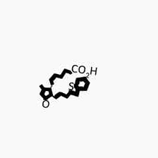 CC1=CC(=O)[C@H](/C=C/Cc2cc3ccccc3s2)[C@H]1C/C=C\CCCC(=O)O